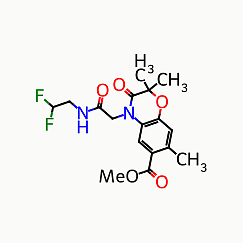 COC(=O)c1cc2c(cc1C)OC(C)(C)C(=O)N2CC(=O)NCC(F)F